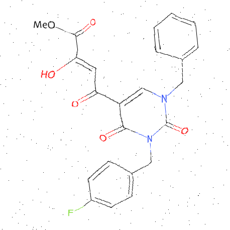 COC(=O)/C(O)=C/C(=O)c1cn(Cc2ccccc2)c(=O)n(Cc2ccc(F)cc2)c1=O